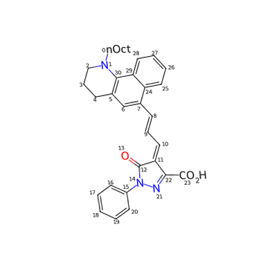 CCCCCCCCN1CCCc2cc(/C=C/C=C3\C(=O)N(c4ccccc4)N=C3C(=O)O)c3ccccc3c21